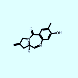 C=C1C[C@H]2C=Nc3cc(O)c(C)cc3C(=O)N2C1